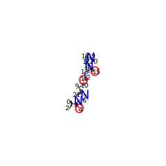 C=C(C)C(=O)n1cnc(CCO/C=C/C(=O)n2ccnc2)c1